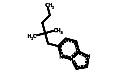 CCCC(C)(C)Cc1ccc2nccn2n1